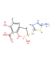 COc1c(C)cc2c(c1C(=O)O)OB(O)[C@@H](Sc1nnc(N)s1)C2